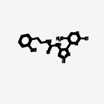 Cc1cnc(Cl)nc1-c1n[nH]cc1NC(=O)NCCc1ccccc1O